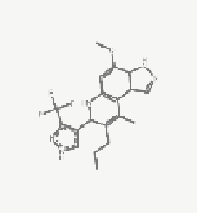 CCCC1=C(C)C2=C(C=C(OC)C3NN=CC23)NC1c1c[nH]nc1C(F)(F)F